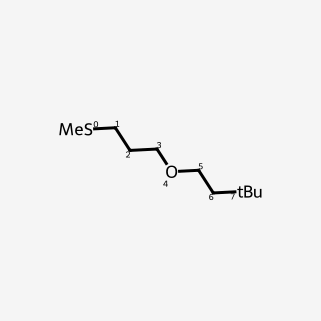 CSCCCOCCC(C)(C)C